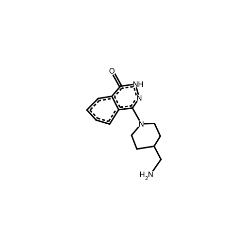 NCC1CCN(c2n[nH]c(=O)c3ccccc23)CC1